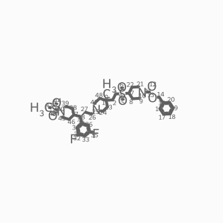 CC1(CCS(=O)(=O)C2CCN(C(=O)OCc3ccccc3)CC2)CCN(CC[C@@H](c2cc(F)cc(F)c2)C2CCN(S(C)(=O)=O)CC2)CC1